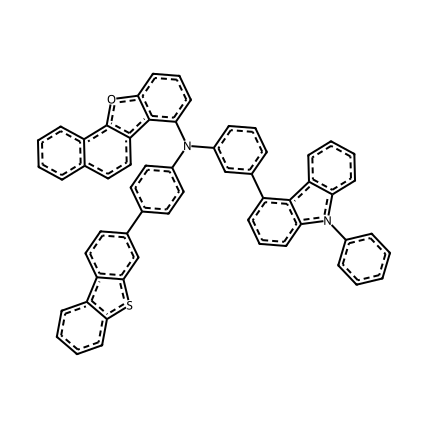 c1ccc(-n2c3ccccc3c3c(-c4cccc(N(c5ccc(-c6ccc7c(c6)sc6ccccc67)cc5)c5cccc6oc7c8ccccc8ccc7c56)c4)cccc32)cc1